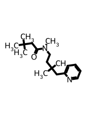 CN(CCC(C)(C)Cc1ccccn1)C(=O)CC(C)(C)C